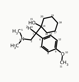 [2H]C(CN(C)C)(c1ccc(OC)cc1)C1(O)CCCCC1